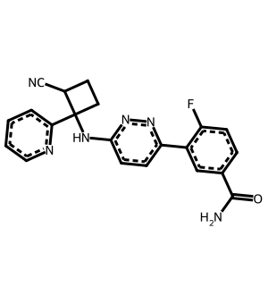 N#CC1CCC1(Nc1ccc(-c2cc(C(N)=O)ccc2F)nn1)c1ccccn1